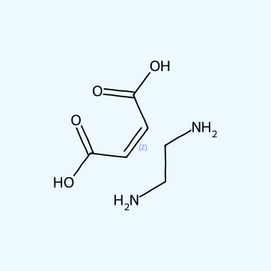 NCCN.O=C(O)/C=C\C(=O)O